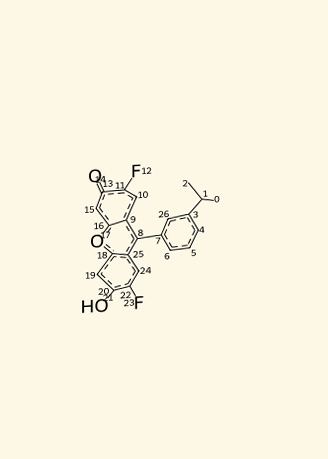 CC(C)c1cccc(-c2c3cc(F)c(=O)cc-3oc3cc(O)c(F)cc23)c1